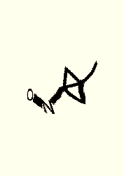 CC12CC1(N=O)C2